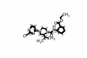 CCOC(=O)c1ccccc1NC(=O)N1CCN(c2ccnc(Cl)n2)CC1C(C)C